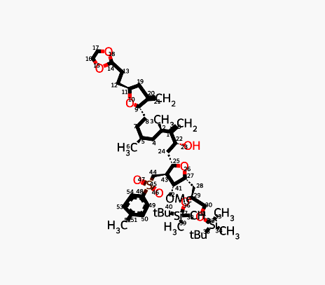 C=C([C@H](C)C[C@@H](C)CC[C@@H]1O[C@@H](CCC2OCCO2)CC1=C)[C@H](O)C[C@@H]1O[C@H](C[C@@H](CO[Si](C)(C)C(C)(C)C)O[Si](C)(C)C(C)(C)C)[C@H](OC)[C@H]1CS(=O)(=O)c1ccc(C)cc1